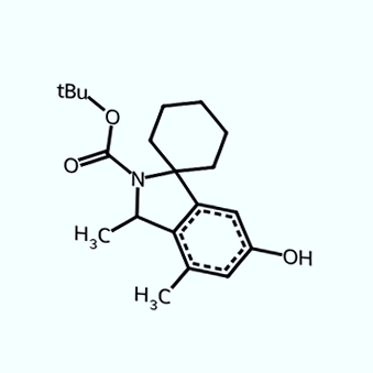 Cc1cc(O)cc2c1C(C)N(C(=O)OC(C)(C)C)C21CCCCC1